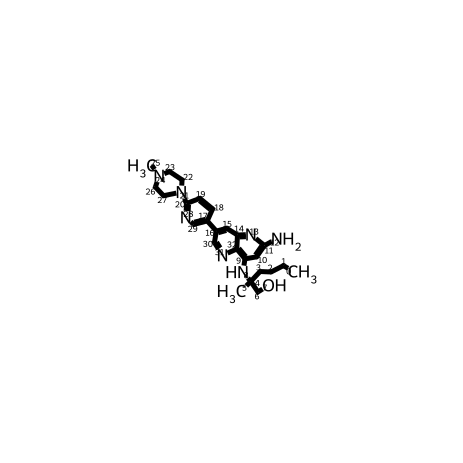 CCCCC(C)(CO)Nc1cc(N)nc2cc(-c3ccc(N4CCN(C)CC4)nc3)cnc12